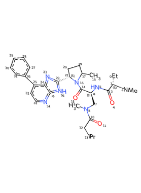 CC[C@H](NC)C(=O)N[C@@H](CN(C)C(=O)CC(C)C)C(=O)N1C(C)CC[C@H]1c1nc2c(-c3ccccc3)ccnc2[nH]1